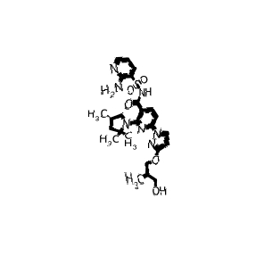 CC(CO)COc1ccn(-c2ccc(C(=O)NS(=O)(=O)c3cccnc3N)c(N3C[C@@H](C)CC3(C)C)n2)n1